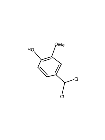 COc1cc(C(Cl)Cl)ccc1O